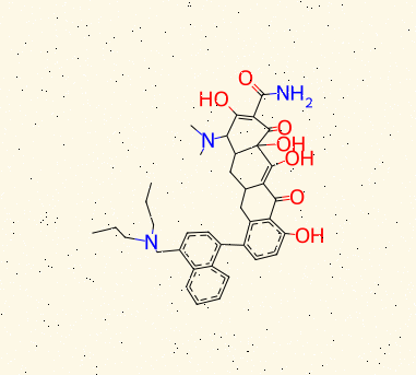 CCCN(CCC)Cc1ccc(-c2ccc(O)c3c2CC2CC4C(N(C)C)C(O)=C(C(N)=O)C(=O)C4(O)C(O)=C2C3=O)c2ccccc12